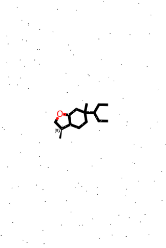 CCC(CC)C1(C)CCC2C(C1)OC[C@@H]2C